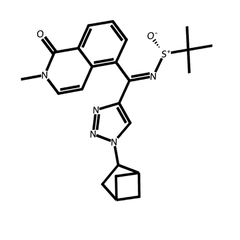 Cn1ccc2c(/C(=N\[S@+]([O-])C(C)(C)C)c3cn(C4CC5CC4C5)nn3)cccc2c1=O